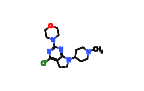 CN1CCC(N2CCc3c(Cl)nc(N4CCOCC4)nc32)CC1